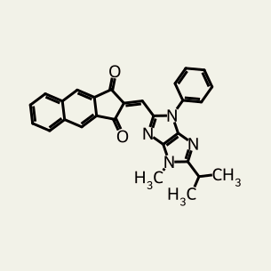 CC(C)c1nc2c(nc(C=C3C(=O)c4cc5ccccc5cc4C3=O)n2-c2ccccc2)n1C